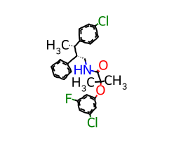 C[C@H](c1ccc(Cl)cc1)[C@H](CNC(=O)C(C)(C)Oc1cc(F)cc(Cl)c1)c1ccccc1